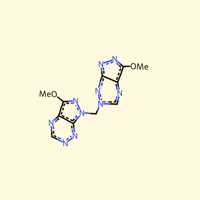 COc1nnc2nn(Cn3nc(OC)c4ncnnc43)cnc1-2